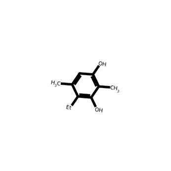 CCc1c(C)[c]c(O)c(C)c1O